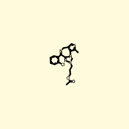 CC(=O)OCCCN1CN2C(=N1)C(c1ccccc1Cl)=NCc1csc(C)c12